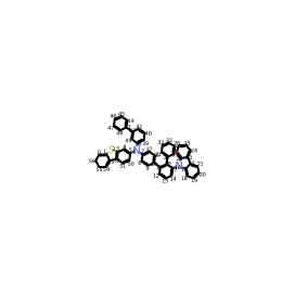 C1=c2sc3cc(N(c4ccc(-c5cccc(-n6c7ccccc7c7ccccc76)c5-c5ccccc5)cc4)c4cccc(-c5ccccc5)c4)ccc3c2=CCC1